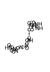 Cc1ccc(N[C@H]2CNC[C@H]2F)cc1C(=O)N[C@H](C)c1ccc(C#CC2CCN(CC3(O)CCN(C(=O)C4CCN(c5ccc6c(c5)n(C)c(=O)n6C5CCC(=O)NC5=O)CC4)CC3)CC2)c2ccccc12